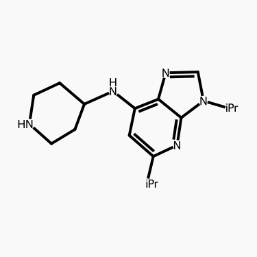 CC(C)c1cc(NC2CCNCC2)c2ncn(C(C)C)c2n1